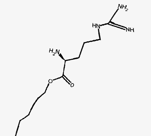 CCCCCOC(=O)[C@@H](N)CCCNC(=N)N